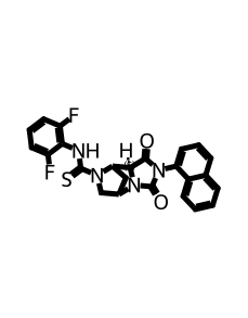 O=C1[C@@H]2C3CC(CN3C(=S)Nc3c(F)cccc3F)N2C(=O)N1c1cccc2ccccc12